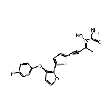 CC(C#Cc1ccc(-c2occc2Oc2ccc(F)cc2)o1)N(O)C(N)=O